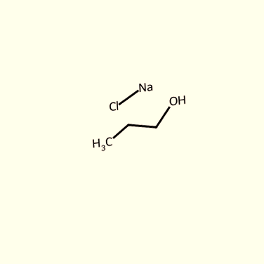 CCCO.[Na][Cl]